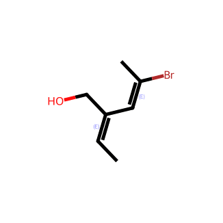 C/C=C(\C=C(/C)Br)CO